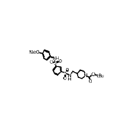 COc1ccc(NS(=O)(=O)c2cccc(S(=O)(=O)NCC3CCN(C(=O)OC(C)(C)C)CC3)c2)cc1